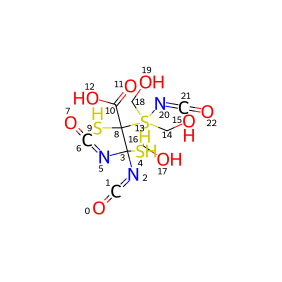 O=C=NC(S)(N=C=O)C(S)(C(=O)O)[SH](CO)(CO)(CO)N=C=O